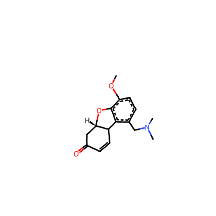 COc1ccc(CN(C)C)c2c1O[C@H]1CC(=O)C=CC21